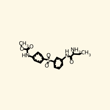 CCC(N)C(=O)Nc1cccc(S(=O)(=O)c2ccc(NC(=O)OC)cc2)c1